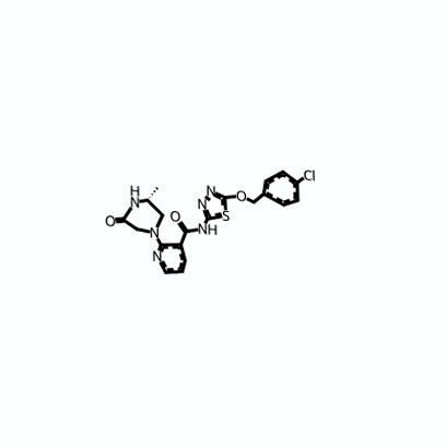 C[C@@H]1CN(c2ncccc2C(=O)Nc2nnc(OCc3ccc(Cl)cc3)s2)CC(=O)N1